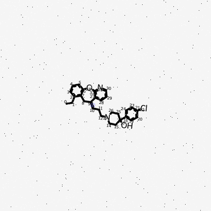 CCc1cccc2c1C/C(=C/CCN1CCC(O)(c3ccc(Cl)cc3)CC1)c1cccnc1O2